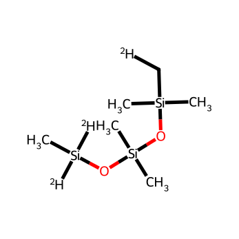 [2H]C[Si](C)(C)O[Si](C)(C)O[Si]([2H])([2H])C